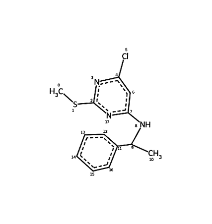 CSc1nc(Cl)cc(NC(C)c2ccccc2)n1